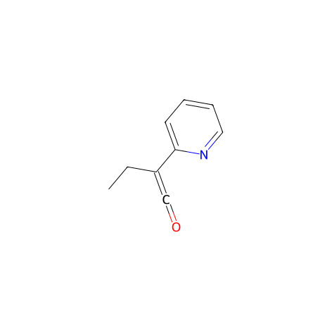 CCC(=C=O)c1ccccn1